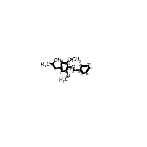 COc1cc(CC(C)O)cc(OC)c1OCc1ccccc1